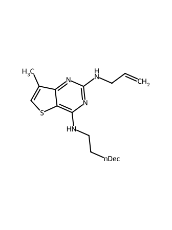 C=CCNc1nc(NCCCCCCCCCCCC)c2scc(C)c2n1